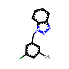 Cc1cc(Cl)cc(Cn2nnc3ccccc32)c1